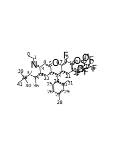 CC/N=c1\cc2oc3c(F)c(OS(=O)(=O)C(F)(F)F)c(F)cc3c(-c3ccc(C)cc3C)c-2cc1C(C)CC(C)(C)C